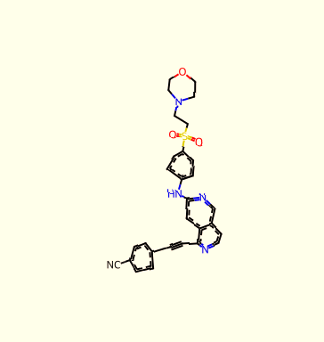 N#Cc1ccc(C#Cc2nccc3cnc(Nc4ccc(S(=O)(=O)CCN5CCOCC5)cc4)cc23)cc1